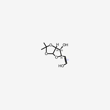 CC1(C)OC2O[C@H](/C=C\O)[C@H](O)[C@H]2O1